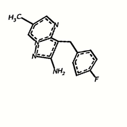 Cc1cnc2c(Cc3ccc(F)cc3)c(N)nn2c1